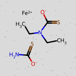 CCN(CC)C([O-])=S.NC([O-])=S.[Fe+2]